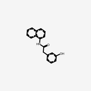 O=C(Cc1cccc(O)c1)Nc1cccc2ccccc12